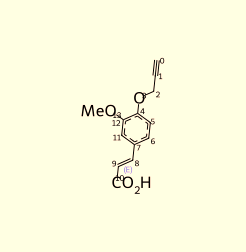 C#CCOc1ccc(/C=C/C(=O)O)cc1OC